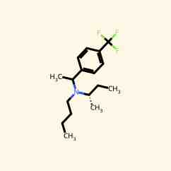 CCCCN(C(C)c1ccc(C(F)(F)F)cc1)[C@@H](C)CC